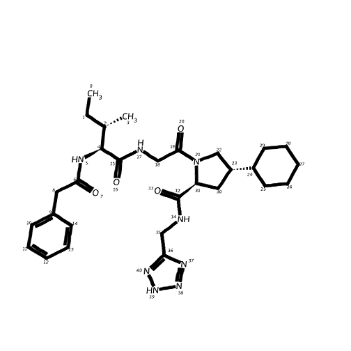 CC[C@H](C)[C@H](NC(=O)Cc1ccccc1)C(=O)NCC(=O)N1C[C@H](C2CCCCC2)C[C@H]1C(=O)NCc1nn[nH]n1